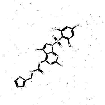 Cc1cc(C)c(S(=O)(=O)n2cc(F)c3c(OC(=O)NCc4ccco4)nc(Cl)nc32)c(C)c1